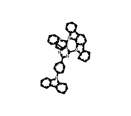 c1ccc(-c2nc(-c3ccc(-n4c5ccccc5c5ccccc54)cc3)nc(-n3c4ccccc4c4ccc5c6ccccc6n(-c6ccccn6)c5c43)n2)cc1